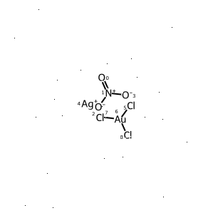 O=[N+]([O-])[O-].[Ag+].[Cl][Au]([Cl])[Cl]